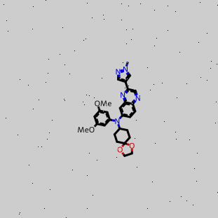 COc1cc(OC)cc(N(c2ccc3ncc(-c4cnn(C)c4)nc3c2)C2CCC3(CC2)OCCO3)c1